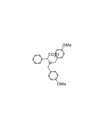 CCOC(=O)C(c1ccccc1)N(Cc1ccc(OC)cc1)Cc1ccc(OC)cc1